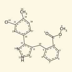 COC(=O)c1ccccc1Cc1c[nH]nc1-c1ccc(C)c(Cl)c1